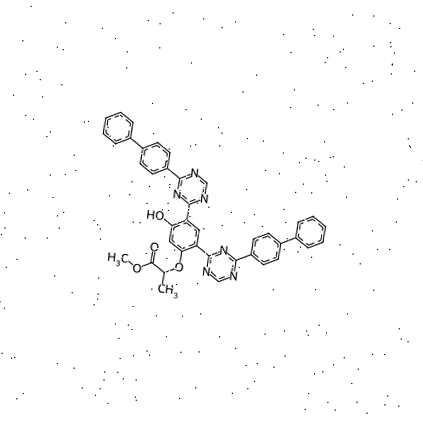 COC(=O)C(C)Oc1cc(O)c(-c2ncnc(-c3ccc(-c4ccccc4)cc3)n2)cc1-c1ncnc(-c2ccc(-c3ccccc3)cc2)n1